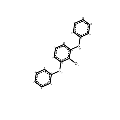 [O]c1c(Sc2ccccc2)cccc1Sc1ccccc1